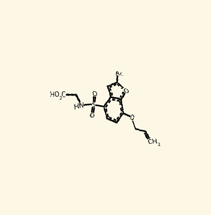 C=CCOc1ccc(S(=O)(=O)NCC(=O)O)c2cc(C(C)=O)oc12